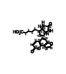 O=C(O)CCCC[C@@H]1SC[C@@H]2NC(=O)N[C@@H]21.O=c1ccc2ccc3occc3c2o1